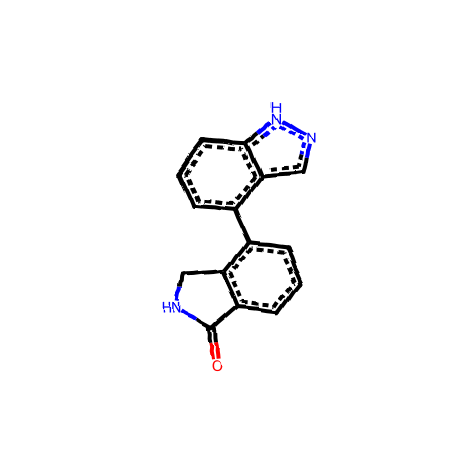 O=C1NCc2c1cccc2-c1cccc2[nH]ncc12